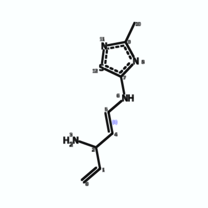 C=CC(N)/C=C/Nc1nc(C)ns1